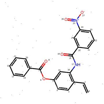 C=Cc1ccc(OC(=O)c2ccccc2)cc1NC(=O)c1cccc([N+](=O)[O-])c1